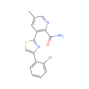 Cc1cnc(C(N)=O)c(-c2nc(-c3ccccc3Cl)cs2)c1